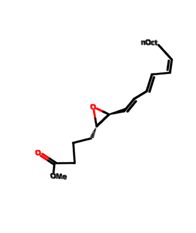 CCCCCCCC\C=C/C=C/C=C/[C@@H]1O[C@H]1CCCC(=O)OC